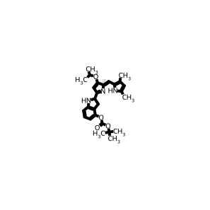 Cc1cc(C)c(/C=C2\N=C(C3Cc4c(cccc4OC(=O)OC(C)(C)C)N3)C=C2OC(C)C)[nH]1